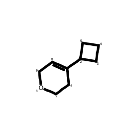 C1=C([C]2CCC2)CCOC1